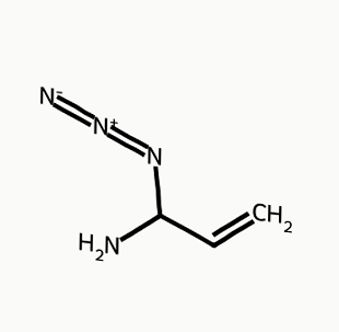 C=CC(N)N=[N+]=[N-]